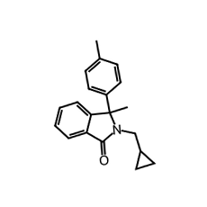 Cc1ccc(C2(C)c3ccccc3C(=O)N2CC2CC2)cc1